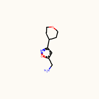 NCc1cc(C2CCOCC2)no1